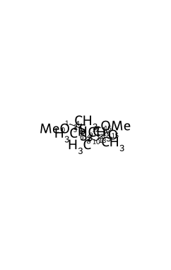 COCC(C)(C)SSC(C)(C)CC(C)(C)C(=O)OC